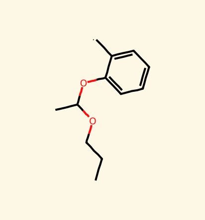 [CH2]c1ccccc1OC(C)OCCC